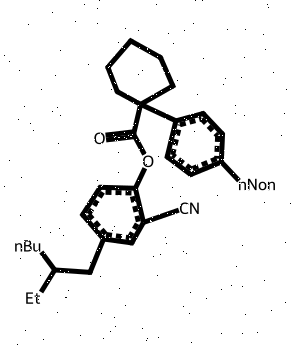 CCCCCCCCCc1ccc(C2(C(=O)Oc3ccc(CC(CC)CCCC)cc3C#N)CCCCC2)cc1